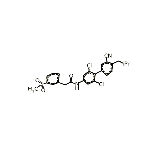 CC(C)Cc1ccc(-c2c(Cl)cc(NC(=O)Cc3cccc(S(C)(=O)=O)c3)cc2Cl)cc1C#N